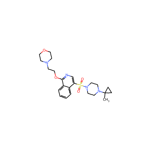 CC1(N2CCN(S(=O)(=O)c3cnc(OCCN4CCOCC4)c4ccccc34)CC2)CC1